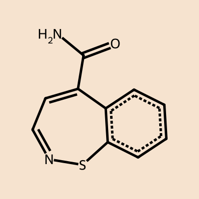 NC(=O)C1=CC=NSc2ccccc21